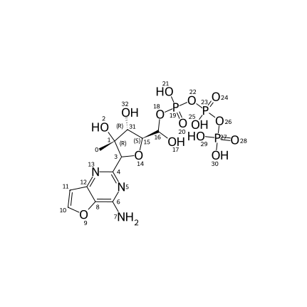 C[C@]1(O)C(c2nc(N)c3occc3n2)O[C@H](C(O)OP(=O)(O)OP(=O)(O)OP(=O)(O)O)[C@H]1O